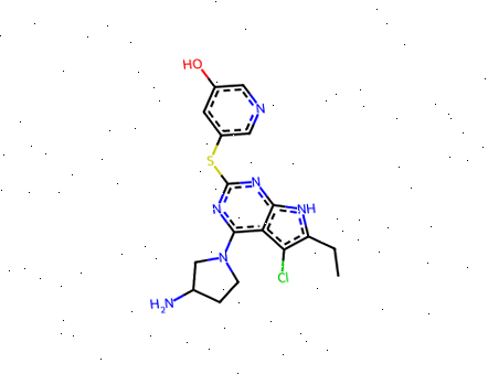 CCc1[nH]c2nc(Sc3cncc(O)c3)nc(N3CCC(N)C3)c2c1Cl